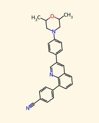 CC1CN(c2ccc(-c3cnc4c(-c5ccc(C#N)cc5)cccc4c3)cc2)CC(C)O1